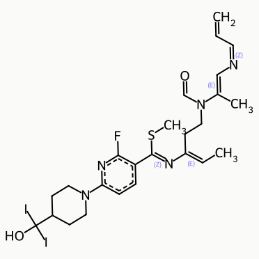 C=C/C=N\C=C(/C)N(C=O)CCC(=C\C)/N=C(\SC)c1ccc(N2CCC(C(O)(I)I)CC2)nc1F